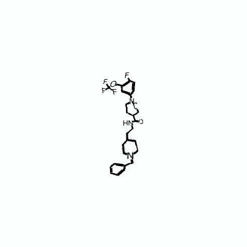 O=C(NCCC1CCN(Cc2ccccc2)CC1)C1CCN(c2ccc(F)c(OC(F)(F)F)c2)CC1